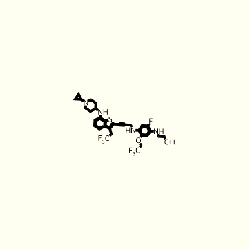 OCCNc1cc(OCC(F)(F)F)c(NCC#Cc2sc3c(NC4CCN(C5CC5)CC4)cccc3c2CC(F)(F)F)cc1F